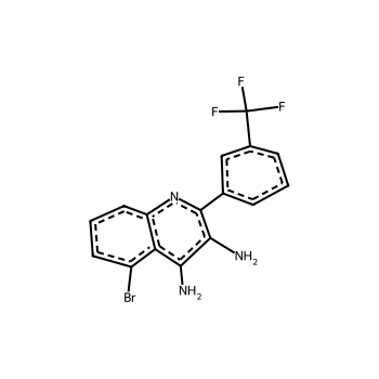 Nc1c(-c2cccc(C(F)(F)F)c2)nc2cccc(Br)c2c1N